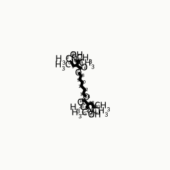 CC1(C)CC(C(=O)OCCCCCCOC(=O)C2CC(C)(C)N(O)C2(C)C)C(C)(C)N1O